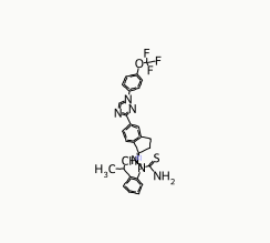 CC(C)c1ccccc1N(/N=C1\CCc2cc(-c3ncn(-c4ccc(OC(F)(F)F)cc4)n3)ccc21)C(N)=S